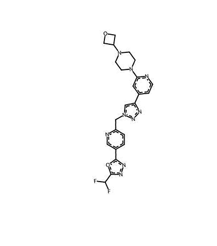 FC(F)c1nnc(-c2ccc(Cn3cc(-c4ccnc(N5CCN(C6COC6)CC5)c4)nn3)nc2)o1